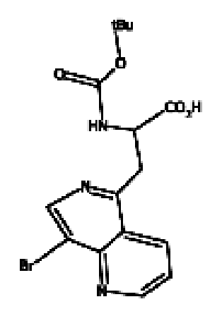 CC(C)(C)OC(=O)NC(Cc1ncc(Br)c2ncccc12)C(=O)O